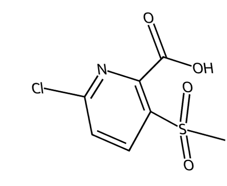 CS(=O)(=O)c1ccc(Cl)nc1C(=O)O